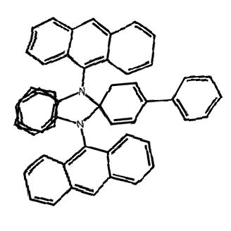 C1=CC(N(c2ccccc2)c2c3ccccc3cc3ccccc23)(N(c2ccccc2)c2c3ccccc3cc3ccccc23)CC=C1c1ccccc1